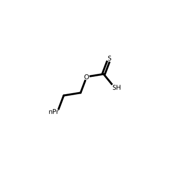 CCCCCOC(=S)S